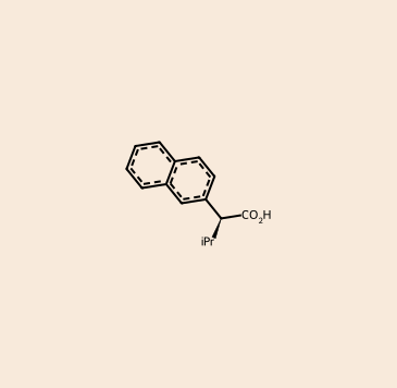 CC(C)[C@H](C(=O)O)c1ccc2ccccc2c1